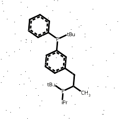 CC(C)P(C(C)Cc1cccc(P(c2ccccc2)C(C)(C)C)c1)C(C)(C)C